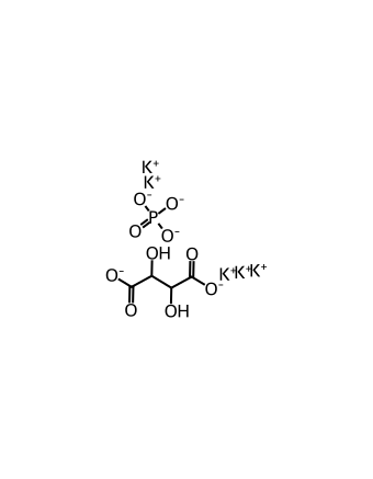 O=C([O-])C(O)C(O)C(=O)[O-].O=P([O-])([O-])[O-].[K+].[K+].[K+].[K+].[K+]